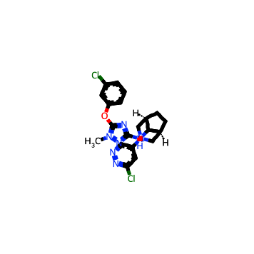 Cn1nc(NC2[C@@H]3CC[C@H]2CN(c2cnnc(Cl)c2)C3)nc1Oc1cccc(Cl)c1